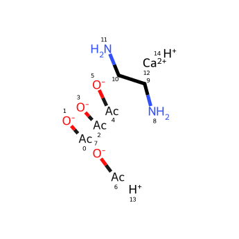 CC(=O)[O-].CC(=O)[O-].CC(=O)[O-].CC(=O)[O-].NCCN.[Ca+2].[H+].[H+]